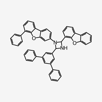 c1ccc(-c2cc(-c3ccccc3)cc(C3NC(c4cccc5c4oc4ccccc45)N3c3ccc4c(c3)oc3c(-c5ccccc5)cccc34)c2)cc1